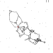 CNC(=O)Nc1nc2c(s1)C1COCC(C2)N1c1cc(-c2ccc(F)cc2)on1